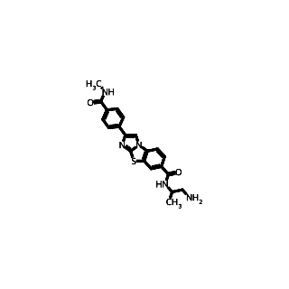 CNC(=O)c1ccc(-c2cn3c(n2)sc2cc(C(=O)NC(C)CN)ccc23)cc1